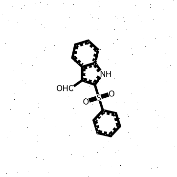 O=Cc1c(S(=O)(=O)c2ccccc2)[nH]c2ccccc12